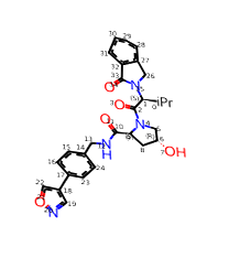 CC(C)[C@@H](C(=O)N1C[C@H](O)C[C@H]1C(=O)NCc1ccc(-c2cnoc2)cc1)N1Cc2ccccc2C1=O